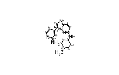 CN1CCC(Nc2ccc3ncc(-c4ccnc(N)c4)n3n2)CC1